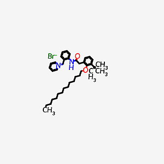 CCCCCCCCCCCCCCOc1c(CC(=O)Nc2ccccc2C[n+]2ccccc2)cccc1C(C)(C)C.[Br-]